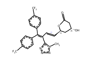 Cn1nnnc1C(/C=C/[C@@H]1C[C@@H](O)CC(=O)O1)=C(c1ccc(C(F)(F)F)cc1)c1ccc(C(F)(F)F)cc1